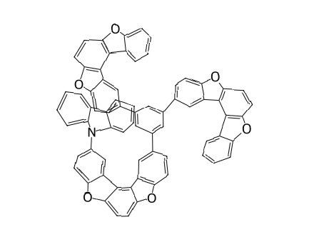 c1ccc2c(c1)oc1ccc3oc4ccc(-c5cc(-c6ccc7oc8ccc9oc%10ccccc%10c9c8c7c6)cc(-c6ccc7oc8ccc9oc%10ccc(-n%11c%12ccccc%12c%12ccccc%12%11)cc%10c9c8c7c6)c5)cc4c3c12